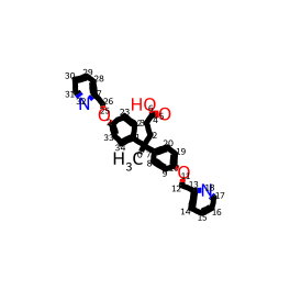 CC(CCC(=O)O)(c1ccc(OCc2ccccn2)cc1)c1ccc(OCc2ccccn2)cc1